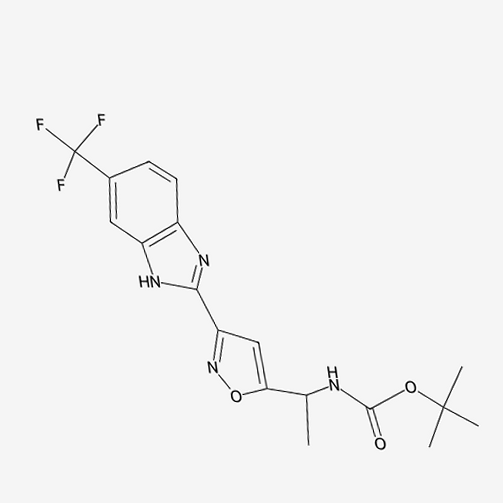 CC(NC(=O)OC(C)(C)C)c1cc(-c2nc3ccc(C(F)(F)F)cc3[nH]2)no1